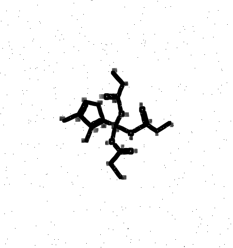 CCC(=O)[O][Ti]([O]C(=O)CC)([O]C(=O)CC)[C]1=C(C)C(C)=CC1